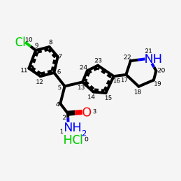 Cl.NC(=O)CC(c1ccc(Cl)cc1)c1ccc(C2CCCNC2)cc1